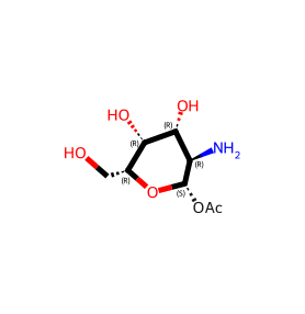 CC(=O)O[C@@H]1O[C@H](CO)[C@H](O)[C@H](O)[C@H]1N